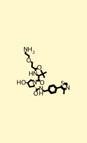 Cc1ncsc1-c1ccc(CNC(=O)[C@@H]2C[C@@H](O)CN2C(=O)C(NC(=O)CCOCCN)C(C)(C)C)cc1